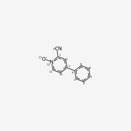 N#Cc1cc(-c2ccccc2)cc[n+]1[O-]